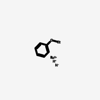 CCOc1ccccc1.[H-].[H-].[Ru+2]